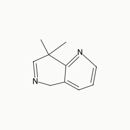 CC1(C)C=NCc2cccnc21